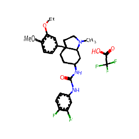 CCOc1cc(C23CCC(NC(=O)Nc4ccc(F)c(F)c4)CC2N(C)CC3)ccc1OC.O=C(O)C(F)(F)F